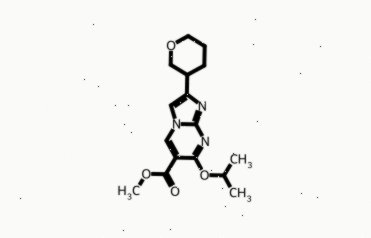 COC(=O)c1cn2cc(C3CCCOC3)nc2nc1OC(C)C